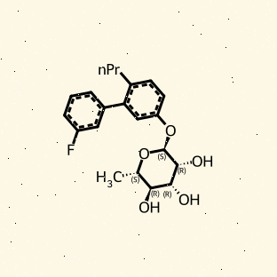 CCCc1ccc(O[C@@H]2O[C@@H](C)[C@H](O)[C@@H](O)[C@H]2O)cc1-c1cccc(F)c1